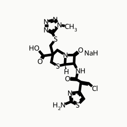 Cn1nnnc1SCC1(C(=O)O)CS[C@@H]2C(NC(=O)C(=CCl)c3csc(N)n3)C(=O)N2C1.[NaH]